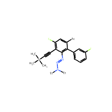 CCN(CC)/N=N/c1c(C#C[Si](C)(C)C)c(F)cc(C(C)=O)c1-c1cccc(F)c1